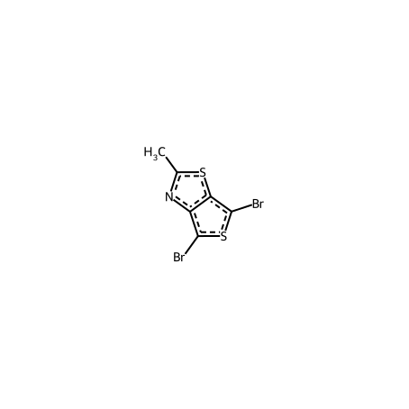 Cc1nc2c(Br)sc(Br)c2s1